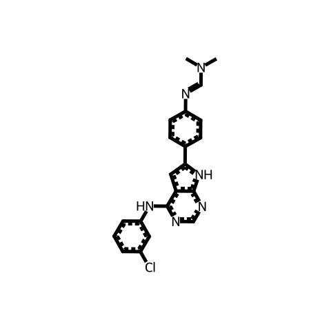 CN(C)C=Nc1ccc(-c2cc3c(Nc4cccc(Cl)c4)ncnc3[nH]2)cc1